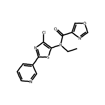 CCN(C(=O)c1cocn1)c1sc(-c2cccnc2)nc1Cl